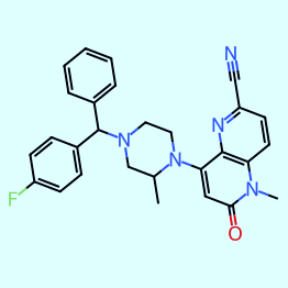 CC1CN(C(c2ccccc2)c2ccc(F)cc2)CCN1c1cc(=O)n(C)c2ccc(C#N)nc12